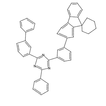 c1ccc(-c2cccc(-c3nc(-c4ccccc4)nc(-c4cccc(-c5ccc6c(c5)C5(CCCCC5)c5ccccc5-6)c4)n3)c2)cc1